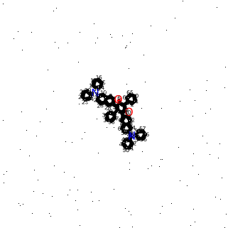 c1ccc(-c2c3oc4cc5cc(N(c6ccccc6)c6ccccc6)ccc5cc4c3c(-c3ccccc3)c3c2oc2cc4cc(N(c5ccccc5)c5ccccc5)ccc4cc23)cc1